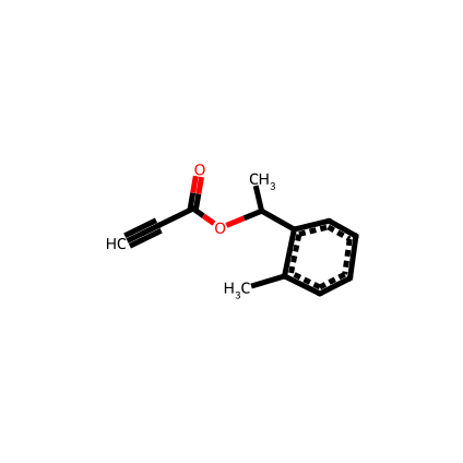 C#CC(=O)OC(C)c1ccccc1C